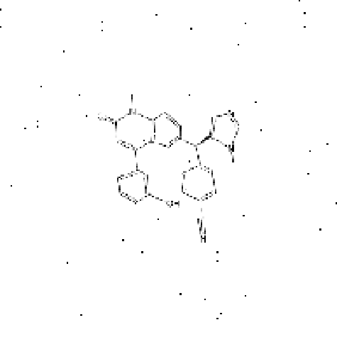 Cn1cncc1[C@@H](c1ccc(C#N)cc1)c1ccc2c(c1)c(-c1cccc(O)c1)cc(=O)n2C